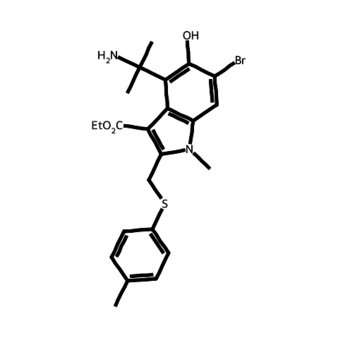 CCOC(=O)c1c(CSc2ccc(C)cc2)n(C)c2cc(Br)c(O)c(C(C)(C)N)c12